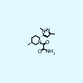 Cc1cc([C@H]2CC[C@H](C)CN2C(=O)C(N)=O)n(C)n1